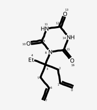 C=CCC(CC)(CC=C)n1c(=O)[nH]c(=O)[nH]c1=O